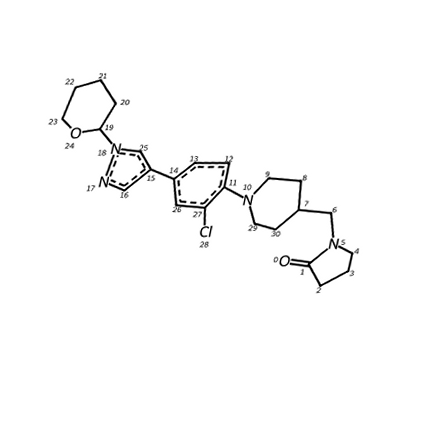 O=C1CCCN1CC1CCN(c2ccc(-c3cnn(C4CCCCO4)c3)cc2Cl)CC1